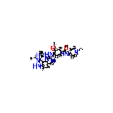 CCN/C(=C1\C(=N)CCc2cnc(Nc3ccc(C(=O)NC4CCN(C)CC4)cc3OC)nc21)C1CC1